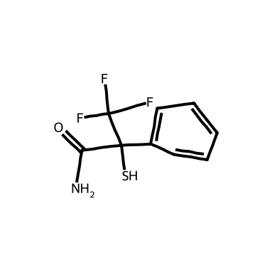 NC(=O)C(S)(c1ccccc1)C(F)(F)F